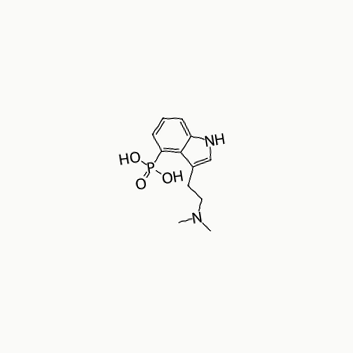 CN(C)CCc1c[nH]c2cccc(P(=O)(O)O)c12